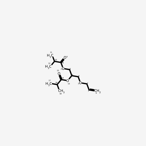 C=CCOCC(COC(=O)C(C)C)OC(=O)C(C)C